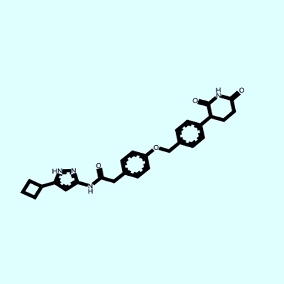 O=C1CCC(c2ccc(COc3ccc(CC(=O)Nc4cc(C5CCC5)[nH]n4)cc3)cc2)C(=O)N1